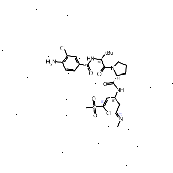 C/N=C/C[C@@H](/C=C(\Cl)S(C)(=O)=O)NC(=O)[C@H]1CCCN1C(=O)[C@@H](NC(=O)c1ccc(N)c(Cl)c1)C(C)(C)C